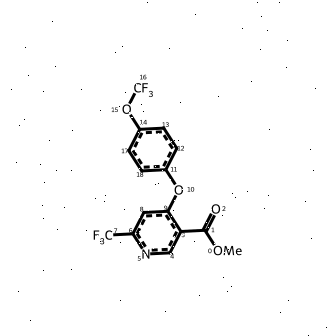 COC(=O)c1cnc(C(F)(F)F)cc1Oc1ccc(OC(F)(F)F)cc1